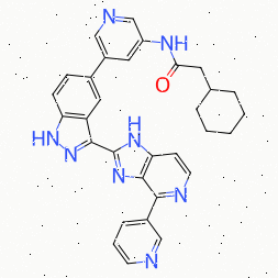 O=C(CC1CCCCC1)Nc1cncc(-c2ccc3[nH]nc(-c4nc5c(-c6cccnc6)nccc5[nH]4)c3c2)c1